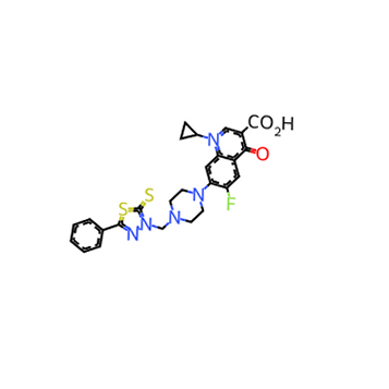 O=C(O)c1cn(C2CC2)c2cc(N3CCN(Cn4nc(-c5ccccc5)sc4=S)CC3)c(F)cc2c1=O